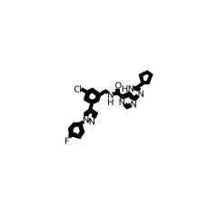 O=C(NCc1cc(Cl)cc(-c2cnn(-c3ccc(F)cc3)c2)c1)c1ncnc2nc(C3CCCC3)[nH]c12